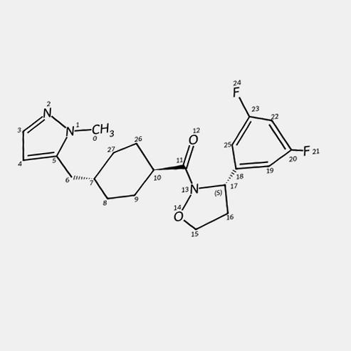 Cn1nccc1C[C@H]1CC[C@H](C(=O)N2OCC[C@H]2c2cc(F)cc(F)c2)CC1